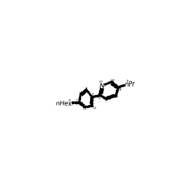 CCCCCCc1ccc(-c2ccc(CCC)cn2)cc1